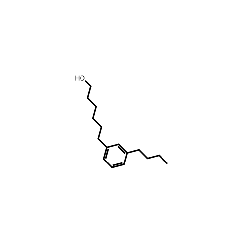 CCCCc1cccc(CCCCCCO)c1